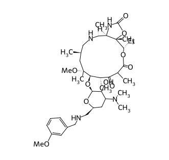 CC[C@@H]1OC(=O)C(C)C(=O)[C@H](C)[C@@H](O[C@@H]2O[C@H](CNCc3cccc(OC)c3)CC(N(C)C)C2O)[C@](C)(OC)C[C@@H](C)CN[C@H](C)[C@H]2NC(=O)O[C@]12C